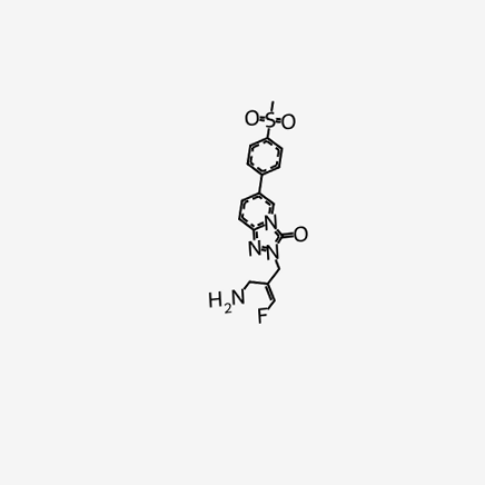 CS(=O)(=O)c1ccc(-c2ccc3nn(C/C(=C/F)CN)c(=O)n3c2)cc1